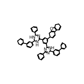 C1=CC(c2cccc(C3NC(c4cc(C5=NC(c6ccccc6)=NC(c6cccc(-c7ccccc7)c6)N5)cc(C5C=Cc6c(oc7c6C=CCC7)C5)c4)=NC(c4ccccc4)N3)c2)=CCC1